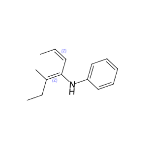 C/C=C\C(Nc1ccccc1)=C(/C)CC